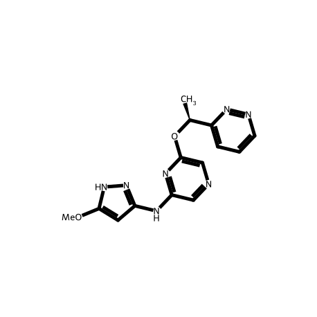 COc1cc(Nc2cncc(O[C@@H](C)c3cccnn3)n2)n[nH]1